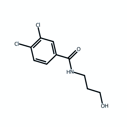 O=C(NCCCO)c1ccc(Cl)c(Cl)c1